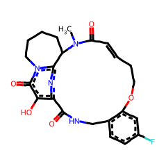 CN1C(=O)/C=C/CCOc2cc(F)ccc2CNC(=O)c2nc3n(c(=O)c2O)CCCCC31